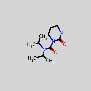 CC(C)N(C(=O)N1CCC[N]C1=O)C(C)C